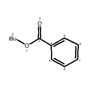 C[CH]C(C)OC(=O)c1ccccc1